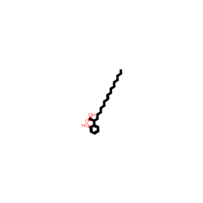 CCCCCCCCC=CCCCCCCC(C(=O)O)c1ccccc1O